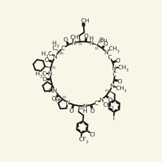 C#CCC[C@H]1C(=O)N[C@@H]([C@@H](C)CC)C(=O)N(C)CC(=O)N(C)CC(=O)N(C)[C@@H](Cc2ccc(I)cc2)C(=O)N(C)CC(=O)N[C@@H](CCc2ccc(C(F)(F)F)c(Cl)c2)C(=O)N2CCC[C@H]2C(=O)NC2(CCCC2)C(=O)N(C)[C@@H](C2CCCCC2)C(=O)N(C)[C@H](C)CC(=O)N1C